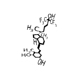 C=C1C(=CC=C2CCC[C@]3(C)[C@@H](C(C)CCCC(O)(C(F)(F)F)C(F)(F)F)CC[C@@H]23)C[C@@H](O)C[C@@H]1O